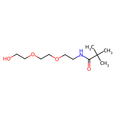 CC(C)(C)C(=O)NCCOCCOCCO